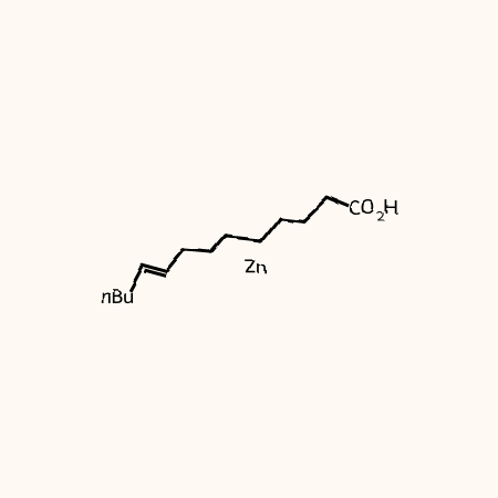 CCCCC=CCCCCCCCC(=O)O.[Zn]